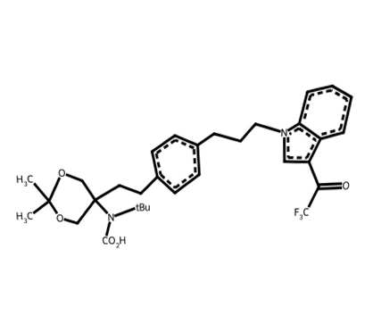 CC1(C)OCC(CCc2ccc(CCCn3cc(C(=O)C(F)(F)F)c4ccccc43)cc2)(N(C(=O)O)C(C)(C)C)CO1